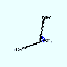 [CH2]c1nc(CCCCCCCCCCCCCCCCCCCC)cc(CCCCCCCCCCCCCCCCCCCC)n1